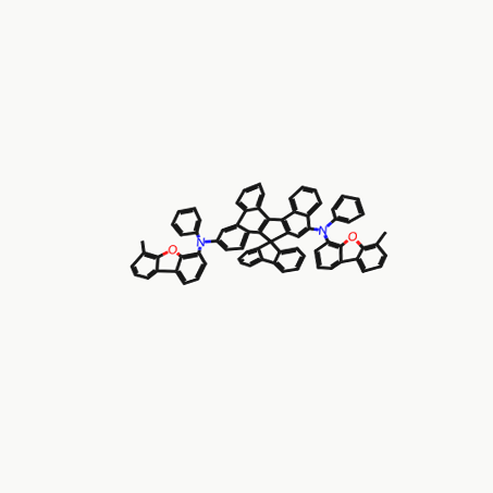 Cc1cccc2c1oc1c(N(c3ccccc3)c3ccc4c5c(c6ccccc6c4c3)-c3c(cc(N(c4ccccc4)c4cccc6c4oc4c(C)cccc46)c4ccccc34)C53c4ccccc4-c4ccccc43)cccc12